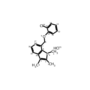 Cc1c(C)n(C)c2c(COc3ccccc3Cl)nccc12.Cl